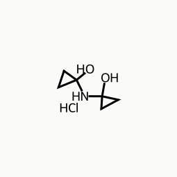 Cl.OC1(NC2(O)CC2)CC1